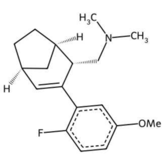 COc1ccc(F)c(C2=C[C@H]3CC[C@H](C3)[C@@H]2CN(C)C)c1